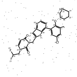 Cc1cc(Cl)cc(-c2ccnc3cc(Cn4c(=O)ccn(CC(F)F)c4=O)sc23)c1O[C@H]1CCCNC1